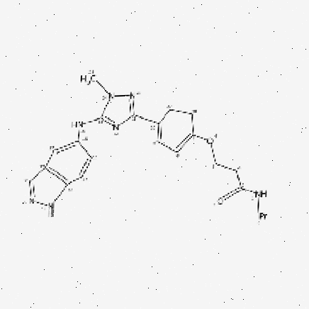 CC(C)NC(=O)CCOC1=CC=C(c2nc(Nc3ccc4[nH]ncc4c3)n(C)n2)CC1